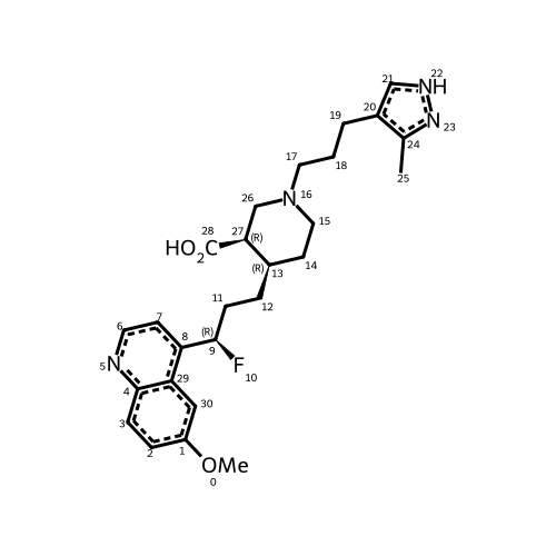 COc1ccc2nccc([C@H](F)CC[C@@H]3CCN(CCCc4c[nH]nc4C)C[C@@H]3C(=O)O)c2c1